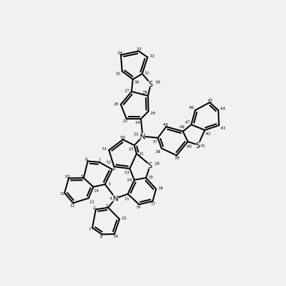 c1ccc(N(c2cccc3ccccc23)c2cccc3sc4c(N(c5ccc6c(c5)sc5ccccc56)c5ccc6sc7ccccc7c6c5)cccc4c23)cc1